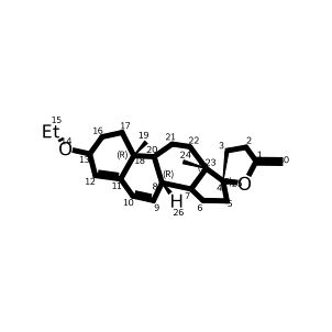 C=C1CC[C@]2(CCC3[C@@H]4C=CC5=CC(OCC)CC[C@]5(C)C4CC[C@@]32C)O1